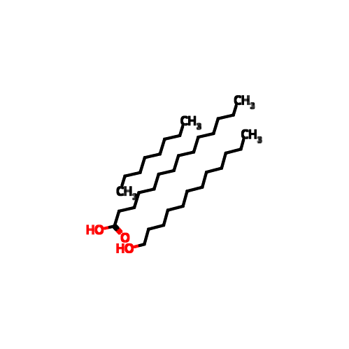 CCCCCCCC.CCCCCCCCCCCCCC(=O)O.CCCCCCCCCCCCO